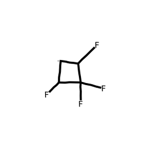 FC1[CH]C(F)C1(F)F